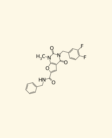 Cn1c(=O)n(Cc2ccc(F)c(F)c2)c(=O)c2cc(C(=O)NCc3ccccc3)oc21